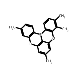 Cc1ccc2c(c1)Oc1cc(C)cc3c1B2c1ccc(C)c(C)c1O3